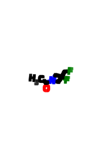 CC(=O)N1CC(F)(CF)C1